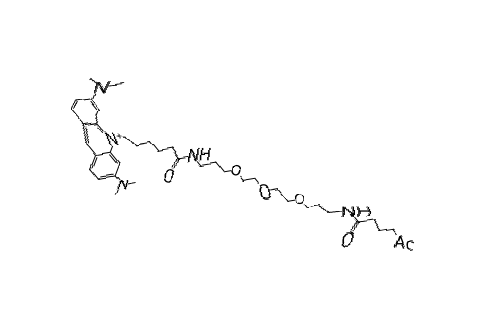 CC(=O)CCCC(=O)NCCCOCCOCCOCCCNC(=O)CCCCC[n+]1c2cc(N(C)C)ccc2cc2ccc(N(C)C)cc21